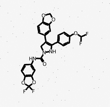 O=C(Nc1ccc2c(c1)OC(F)(F)O2)N1CC(c2ccc3c(c2)OCO3)=C(c2ccc(OC(F)F)cc2)N1